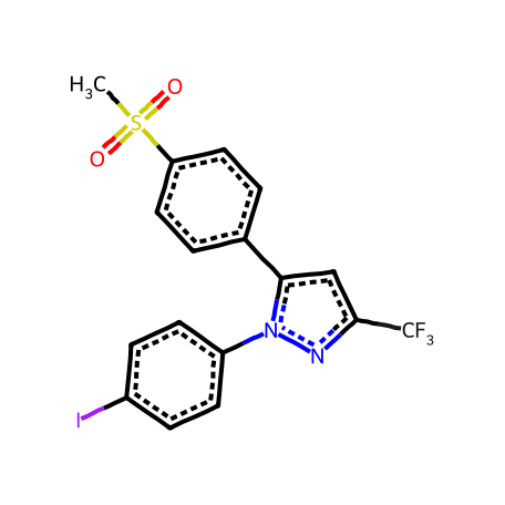 CS(=O)(=O)c1ccc(-c2cc(C(F)(F)F)nn2-c2ccc(I)cc2)cc1